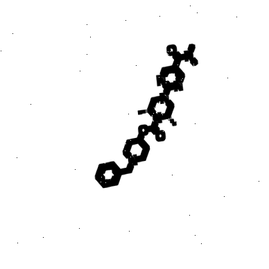 C[C@@H]1CN(c2ncc(C(=O)N(C)C)cn2)C[C@H](C)N1C(=O)OC1CCN(Cc2ccccc2)CC1